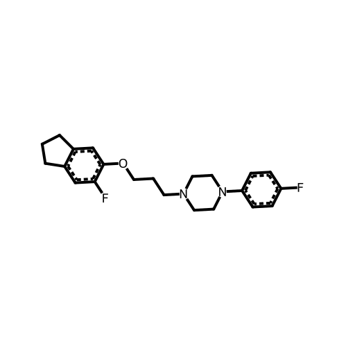 Fc1ccc(N2CCN(CCCOc3cc4c(cc3F)CCC4)CC2)cc1